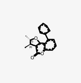 C[C@@H]1Oc2c(c(=O)oc3cccc(-c4ccccc4)c23)[C@H]1C